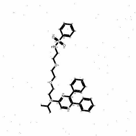 CC(C)N(CCOCCOCCNS(=O)(=O)c1ccccc1)c1cnc(-c2ccccc2)c(-c2ccccc2)n1